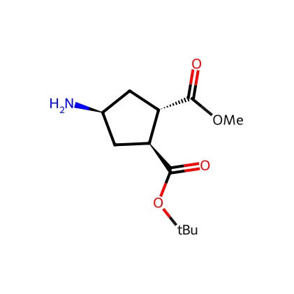 COC(=O)[C@H]1C[C@H](N)C[C@@H]1C(=O)OC(C)(C)C